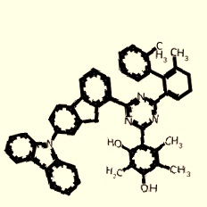 CC1=C(c2ccccc2C)C(c2nc(-c3cccc4c3Cc3cc(-n5c6ccccc6c6ccccc65)ccc3-4)nc(-c3c(C)c(C)c(O)c(C)c3O)n2)=CCC1